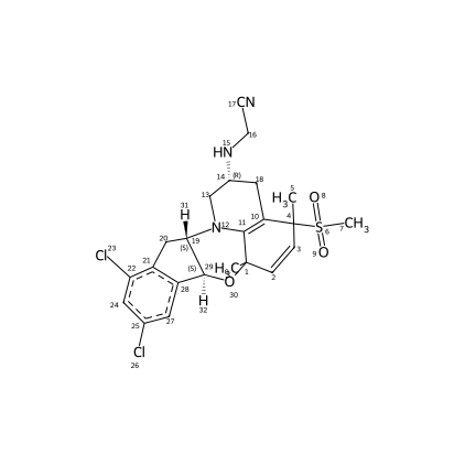 CC12C=CC(C)(S(C)(=O)=O)C3=C1N(C[C@H](NCC#N)C3)[C@H]1Cc3c(Cl)cc(Cl)cc3[C@@H]1O2